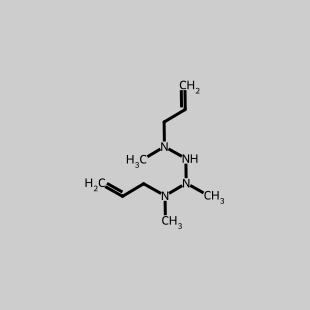 C=CCN(C)NN(C)N(C)CC=C